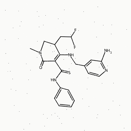 CN1CC(CC(F)F)C(NCc2ccnc(N)c2)=C(C(=S)Nc2ccccc2)C1=O